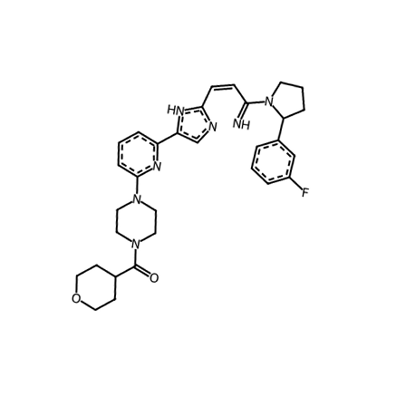 N=C(/C=C\c1ncc(-c2cccc(N3CCN(C(=O)C4CCOCC4)CC3)n2)[nH]1)N1CCCC1c1cccc(F)c1